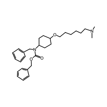 CN(C)CCCCCCOC1CCC(N(Cc2ccccc2)C(=O)OCc2ccccc2)CC1